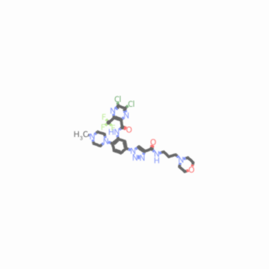 CN1CCN(c2ccc(-n3cc(C(=O)NCCCN4CCOCC4)nn3)cc2NC(=O)c2nc(Cl)c(Cl)nc2C(F)(F)F)CC1